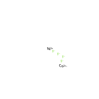 [Co+2].[F-].[F-].[F-].[F-].[Ni+2]